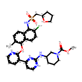 Cc1ccc2c(NS(=O)(=O)C[C@H]3CCCO3)c(F)ccc2c1Oc1ncccc1-c1ccnc(NC2CCCN(C(=O)OC(C)(C)C)C2)n1